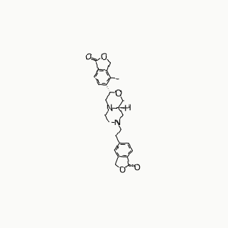 Cc1c([C@H]2CN3CCN(CCc4ccc5c(c4)COC5=O)C[C@H]3CO2)ccc2c1COC2=O